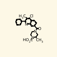 Cc1c(-c2ccccc2)nc2cc(C(=O)N3CCN(C(=O)O)C(C)C3)ccc2c1Cl